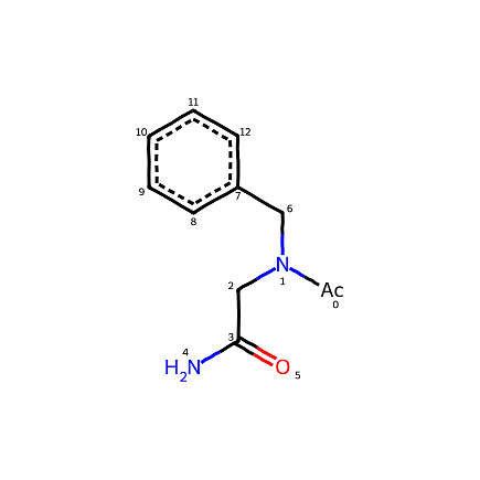 CC(=O)N(CC(N)=O)Cc1ccccc1